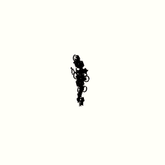 COc1ccc(-c2c(C)sc(N3C(=O)c4ccc(C(=O)OCCN5CCN(C)CC5)cc4C3=O)c2C#N)cc1